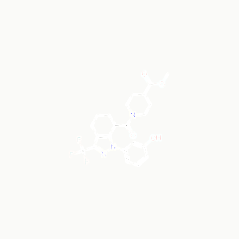 COC(=O)C1CCN(C(=O)C2CCCc3c(C(F)(F)F)nn(-c4cccc(O)c4)c32)CC1